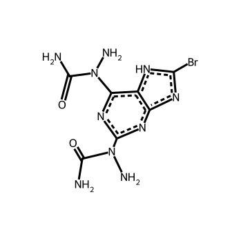 NC(=O)N(N)c1nc(N(N)C(N)=O)c2[nH]c(Br)nc2n1